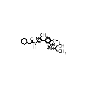 CCC(CC)NS(=O)(=O)c1cc(-c2sc(NC(=O)CC3CCCCC3)nc2C)ccc1C